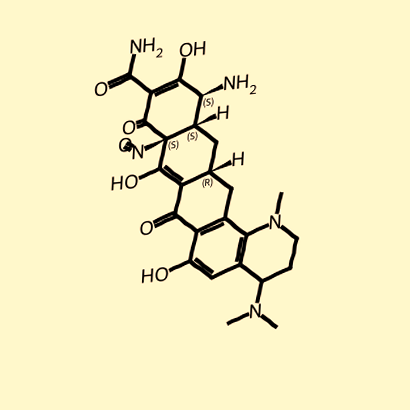 CN1CCC(N(C)C)c2cc(O)c3c(c21)C[C@H]1C[C@H]2[C@H](N)C(O)=C(C(N)=O)C(=O)[C@@]2(N=O)C(O)=C1C3=O